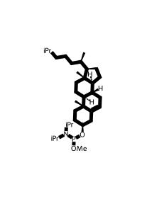 COP(O[C@H]1CC[C@@]2(C)C(=CC[C@H]3[C@@H]4CC[C@H]([C@H](C)CCCC(C)C)[C@@]4(C)CC[C@@H]32)C1)N(C(C)C)C(C)C